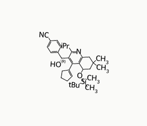 CC(C)c1nc2c(c(C3=CCCC3)c1[C@H](O)c1ccc(C#N)cc1)C(O[Si](C)(C)C(C)(C)C)CC(C)(C)C2